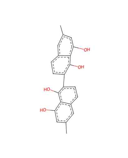 Cc1cc(O)c2c(O)c(-c3ccc4cc(C)cc(O)c4c3O)ccc2c1